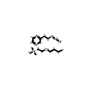 CCCCOCC[N+](C)(C)C.[N-]=[N+]=NCCc1cnccn1